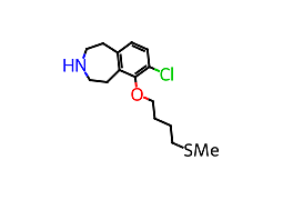 CSCCCCOc1c(Cl)ccc2c1CCNCC2